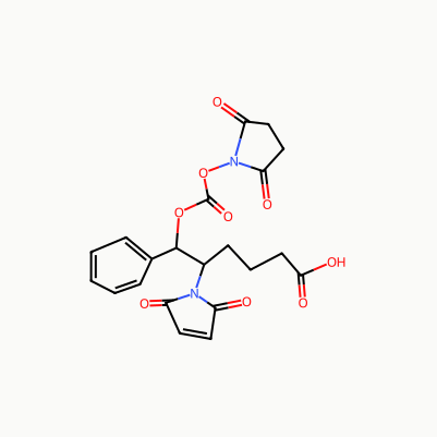 O=C(O)CCCC(C(OC(=O)ON1C(=O)CCC1=O)c1ccccc1)N1C(=O)C=CC1=O